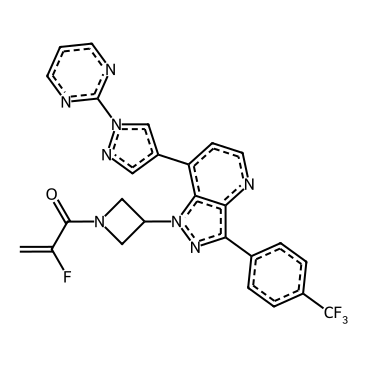 C=C(F)C(=O)N1CC(n2nc(-c3ccc(C(F)(F)F)cc3)c3nccc(-c4cnn(-c5ncccn5)c4)c32)C1